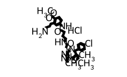 COC(=O)c1ccc(NC(=O)CCCNC(=O)C[C@@H]2N=C(c3ccc(Cl)cc3)c3c(sc(C)c3C)-n3c(C)nnc32)cc1CCCN.Cl